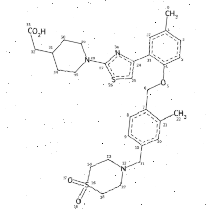 Cc1ccc(OCc2ccc(CN3CCS(=O)(=O)CC3)cc2C)c(-c2csc(N3CCC(CC(=O)O)CC3)n2)c1